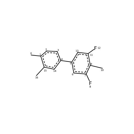 Cc1ccc(-c2cc(F)c(C)c(F)c2)cc1C